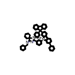 CN/C(=N\C(=N/Cc1ccccc1)C1(C)C=CC=CC1)c1cccc(-n2c3cc(-c4ccccc4)ccc3c3ccc(C4(c5ccccc5)c5ccccc5-c5ccccc54)cc32)c1